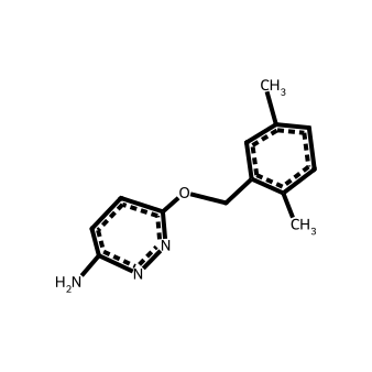 Cc1ccc(C)c(COc2ccc(N)nn2)c1